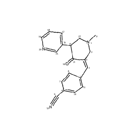 CN1CC(=Cc2ccc(C#N)cc2)C(=O)C(c2cccnc2)C1